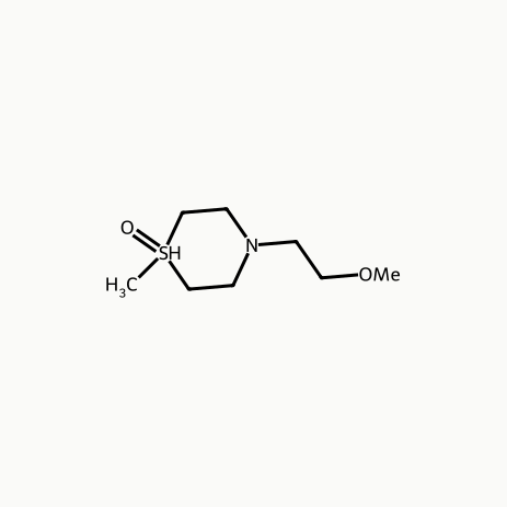 COCCN1CC[SH](C)(=O)CC1